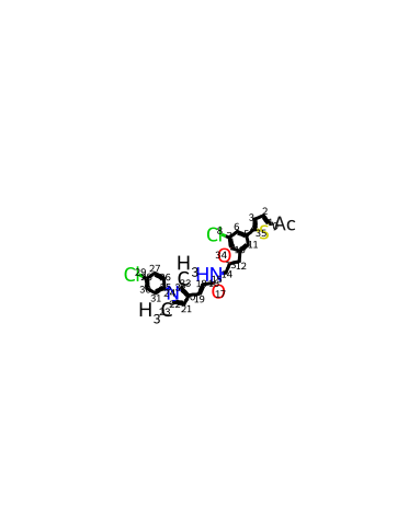 CC(=O)c1ccc(-c2cc(Cl)c3c(c2)CC(CNC(=O)/C=C/c2cc(C)n(-c4ccc(Cl)cc4)c2C)O3)s1